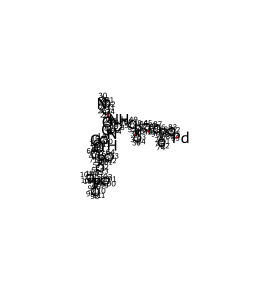 C=Cc1ccc(NC(=O)c2ccc3c(c2)OCCO3)cc1NC(=O)c1ccc2nc(C)ccc2c1.[Pd].c1ccc(P(c2ccccc2)c2ccccc2)cc1.c1ccc(P(c2ccccc2)c2ccccc2)cc1.c1ccc(P(c2ccccc2)c2ccccc2)cc1.c1ccc(P(c2ccccc2)c2ccccc2)cc1